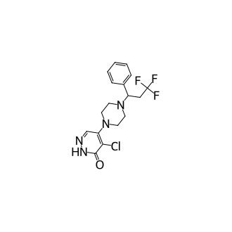 O=c1[nH]ncc(N2CCN(C(CC(F)(F)F)c3ccccc3)CC2)c1Cl